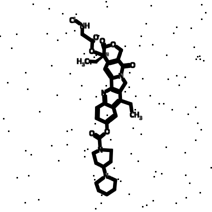 CCc1c2c(nc3ccc(OC(=O)N4CCC(N5CCCCC5)CC4)cc13)-c1cc3c(c(=O)n1C2)COC(=O)[C@@]3(CC)OC(=O)CNCl